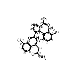 Cc1c(F)ccc(F)c1-c1c(C(=O)NC(CC(N)=O)c2cccc(Cl)c2)c[nH]c1C(=O)C(C)C